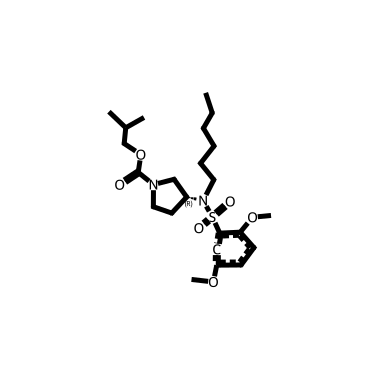 CCCCCCN([C@@H]1CCN(C(=O)OCC(C)C)C1)S(=O)(=O)c1cc(OC)ccc1OC